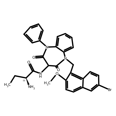 CC[C@H](N)C(=O)NC1C(=O)N(Cc2c(OC)ccc3cc(Br)ccc23)c2ccccc2N(c2ccccc2)C1=O